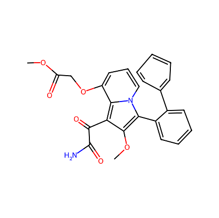 COC(=O)COc1cccn2c(-c3ccccc3-c3ccccc3)c(OC)c(C(=O)C(N)=O)c12